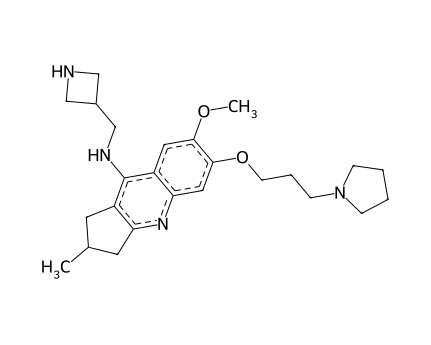 COc1cc2c(NCC3CNC3)c3c(nc2cc1OCCCN1CCCC1)CC(C)C3